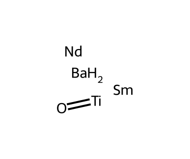 [BaH2].[Nd].[O]=[Ti].[Sm]